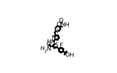 CC(C)(O)c1ccc(-c2cc(C(N)=O)c(Nc3cccc(CN4CCC5(CC4)CNC(=O)O5)n3)s2)c(F)c1